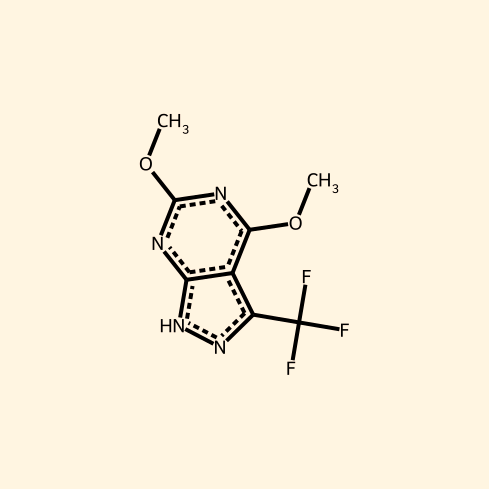 COc1nc(OC)c2c(C(F)(F)F)n[nH]c2n1